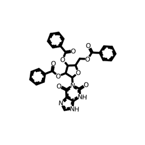 O=C(OCC1OC(n2c(=O)[nH]c3[nH]cnc3c2=O)C(OC(=O)c2ccccc2)C1OC(=O)c1ccccc1)c1ccccc1